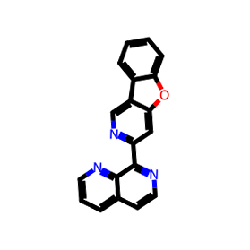 c1cnc2c(-c3cc4oc5ccccc5c4cn3)nccc2c1